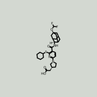 O=C(O)C[C@@H]1CCN(c2ccc(C(=O)N[C@H]3C4CC5CC3C[C@@](OC(F)F)(C5)C4)c(SC3CCCCC3)n2)C1